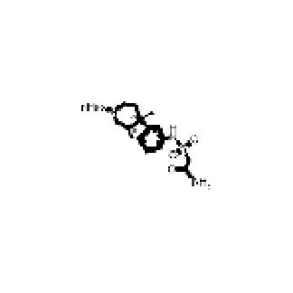 CCCCCCN1CC[C@](C)(c2cccc(NS(=O)(=O)CC(N)=O)c2)[C@@H](C)C1